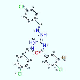 O=C(N=C(N/N=C/c1ccc(Cl)cc1)N/N=C/c1ccc(Cl)cc1)c1ccc(Cl)c(Br)c1